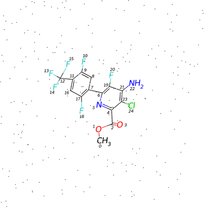 COC(=O)c1nc(-c2cc(F)c(C(F)(F)F)cc2F)c(F)c(N)c1Cl